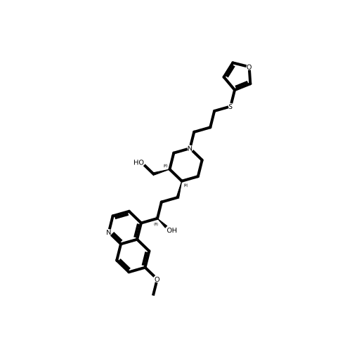 COc1ccc2nccc([C@H](O)CC[C@@H]3CCN(CCCSc4ccoc4)C[C@@H]3CO)c2c1